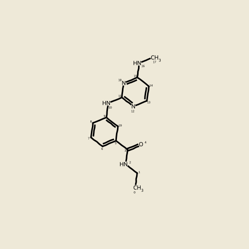 CCNC(=O)c1cccc(Nc2nccc(NC)n2)c1